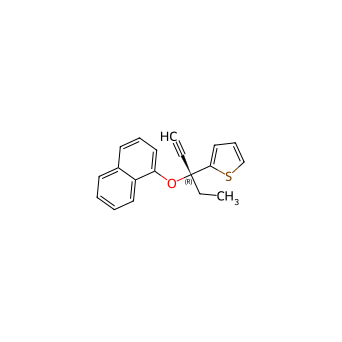 C#C[C@@](CC)(Oc1cccc2ccccc12)c1cccs1